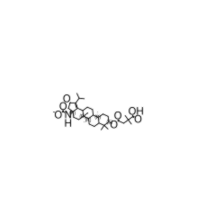 COC(=O)N[C@@]12CC[C@]3(C)C(CCC4[C@@]5(C)CC[C@H](OC(=O)CC(C)(C)C(=O)O)C(C)(C)C5CC[C@]43C)C1=C(C(C)C)C(=O)C2